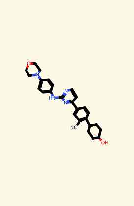 N#Cc1cc(-c2ccnc(Nc3ccc(N4CCOCC4)cc3)n2)ccc1C1C[CH]C(O)CC1